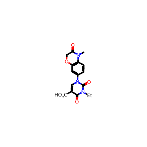 CCn1c(=O)c(C(=O)O)cn(-c2ccc3c(c2)OCC(=O)N3C)c1=O